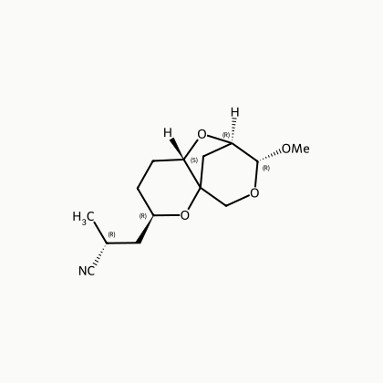 CO[C@@H]1OCC23C[C@H]1O[C@H]2CC[C@H](C[C@@H](C)C#N)O3